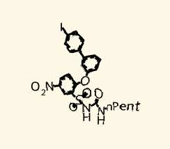 CCCCCNC(=O)NS(=O)(=O)c1cc([N+](=O)[O-])ccc1Oc1cccc(-c2ccc(I)cc2)c1